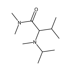 CC(C)C(C(=O)N(C)C)N(C)C(C)C